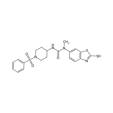 CN(C(=O)NC1CCN(S(=O)(=O)c2ccccc2)CC1)c1ccc2nc(S)sc2c1